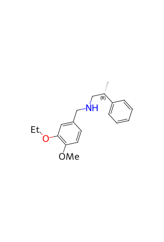 CCOc1cc(CNC[C@H](C)c2ccccc2)ccc1OC